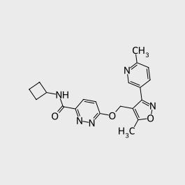 Cc1ccc(-c2noc(C)c2COc2ccc(C(=O)NC3CCC3)nn2)cn1